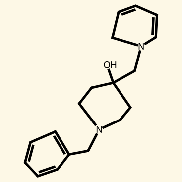 OC1(CN2C=CC=CC2)CCN(Cc2ccccc2)CC1